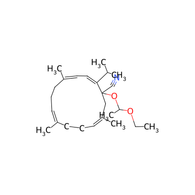 CCOC(C)OC1(C#N)CC(C)=CCCC(C)=CCCC(C)=CC=C1C(C)C